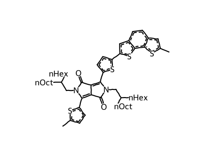 CCCCCCCCC(CCCCCC)CN1C(=O)C2=C(c3ccc(-c4cc5ccc6cc(C)sc6c5s4)s3)N(CC(CCCCCC)CCCCCCCC)C(=O)C2=C1c1ccc(C)s1